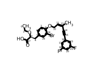 CCO[C@@H](Cc1ccc(OCC=C(C)C#Cc2cc(F)cc(F)c2)c(Br)c1)C(=O)O